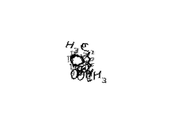 CCCCCCCCC.O=S(=O)(O)c1ccccc1